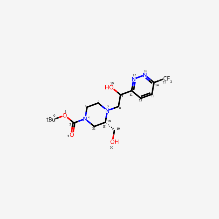 CC(C)(C)OC(=O)N1CCN(CC(O)c2ccc(C(F)(F)F)nn2)[C@H](CO)C1